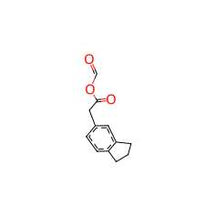 O=COC(=O)Cc1ccc2c(c1)CCC2